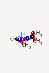 CCOc1nc2cc(Cl)sc2nc1NC(=O)N1CCN(c2cc(OC)cc(OC)c2)CC1